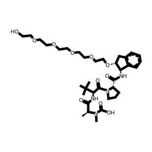 C[C@@H](C(=O)N[C@H](C(=O)N1CCC[C@H]1C(=O)N[C@H]1c2ccccc2C[C@H]1OCCOCCOCCOCCOCCO)C(C)(C)C)N(C)C(=O)O